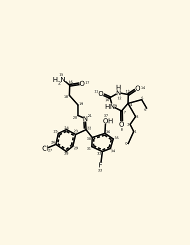 CCCCC1(CC)C(=O)NC(=O)NC1=O.NC(=O)CCC/N=C(\c1ccc(Cl)cc1)c1cc(F)ccc1O